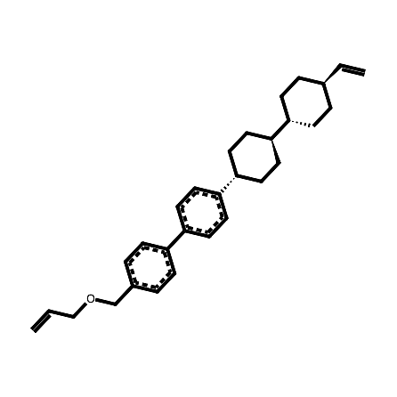 C=CCOCc1ccc(-c2ccc([C@H]3CC[C@H]([C@H]4CC[C@H](C=C)CC4)CC3)cc2)cc1